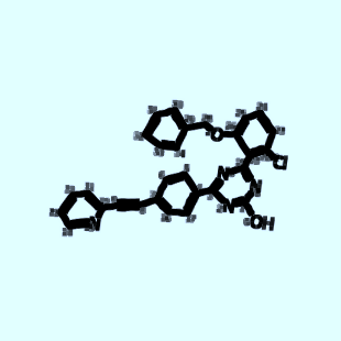 Oc1nc(-c2ccc(C#Cc3ccccn3)cc2)nc(-c2c(Cl)cccc2OCc2ccccc2)n1